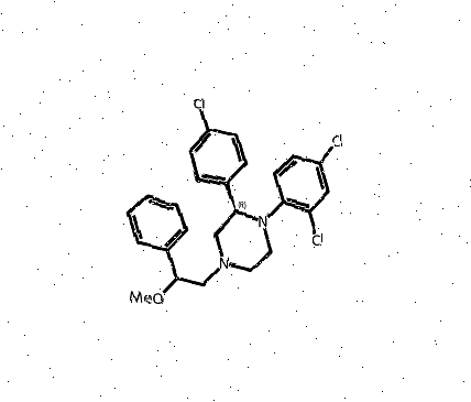 COC(CN1CCN(c2ccc(Cl)cc2Cl)[C@H](c2ccc(Cl)cc2)C1)c1ccccc1